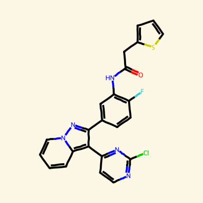 O=C(Cc1cccs1)Nc1cc(-c2nn3ccccc3c2-c2ccnc(Cl)n2)ccc1F